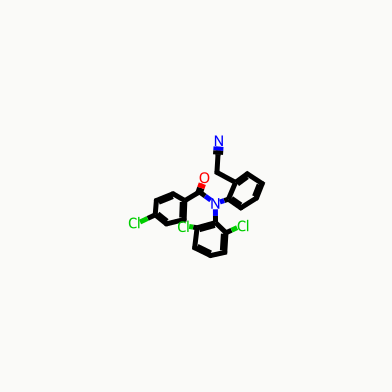 N#CCc1ccccc1N(C(=O)c1ccc(Cl)cc1)c1c(Cl)cccc1Cl